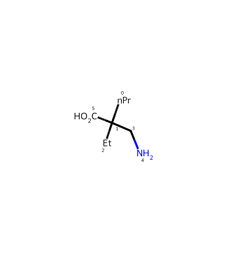 CCCC(CC)(CN)C(=O)O